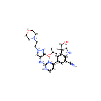 CC(C)Oc1nn(CCN2CCOCC2)cc1Nc1nccc(-c2cc(C#N)c3c(c2)C(C)(CO)CN3)n1